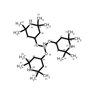 CC1(C)CC(O[SiH](OC2CC(C)(C)NC(C)(C)C2)OC2CC(C)(C)NC(C)(C)C2)CC(C)(C)N1